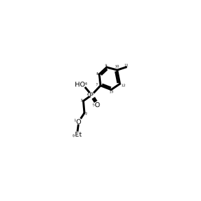 CCOCCP(=O)(O)c1ccc(C)cc1